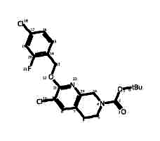 CC(C)(C)OC(=O)N1CCc2cc(Cl)c(OCc3ccc(Cl)cc3F)nc2C1